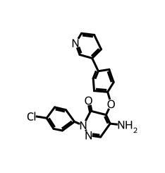 Nc1cnn(-c2ccc(Cl)cc2)c(=O)c1Oc1ccc(-c2cccnc2)cc1